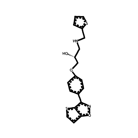 O[C@H](CNCc1cccs1)COc1ccc(-c2noc3ccsc23)cc1